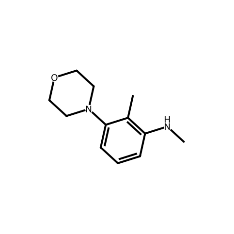 CNc1cccc(N2CCOCC2)c1C